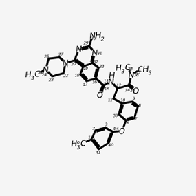 Cc1ccc(Oc2cccc(CC(NC(=O)c3ccc4c(N5CCN(C)CC5)nc(N)nc4c3)C(=O)N(C)C)c2)cc1